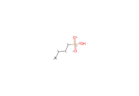 O=S(=O)(O)CC[CH2][K]